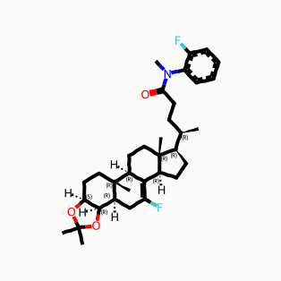 C[C@H](CCC(=O)N(C)c1ccccc1F)[C@H]1CC[C@H]2C3=C(F)C[C@H]4[C@H]5OC(C)(C)O[C@H]5CC[C@]4(C)[C@H]3CC[C@]12C